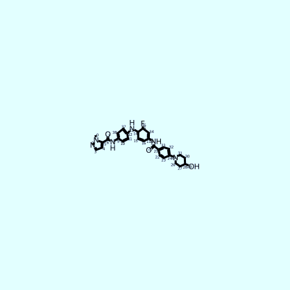 Cn1nccc1C(=O)Nc1ccc(NC2C=CC(NC(=O)c3ccc(N4CCC(O)CC4)cc3)=CC2F)cc1